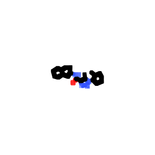 Cc1ccccc1-n1nnc(C(=O)Nc2ccc3ccccc3c2)c1C